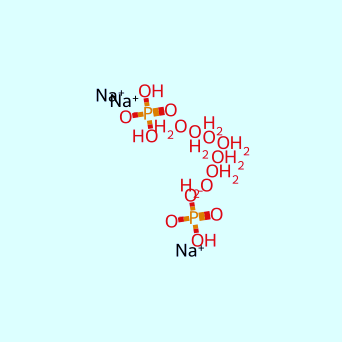 O.O.O.O.O.O.O.O=P([O-])(O)O.O=P([O-])([O-])O.[Na+].[Na+].[Na+]